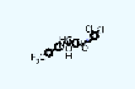 O=C(/C=C/c1ccc(Cl)c(Cl)c1)N1CCC(O)(C(O)CN2CCC(c3ccc(C(F)(F)F)cc3)CC2)CC1